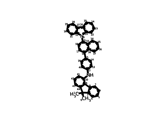 CC1(C)c2ccccc2-c2c(Nc3ccc(-c4ccc(-n5c6ccccc6c6ccccc65)c5ccccc45)cc3)cccc21